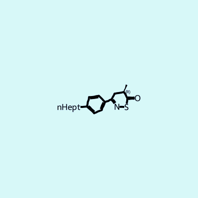 CCCCCCCc1ccc(C2=NSC(=O)[C@H](C)C2)cc1